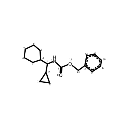 O=C(NC(C1CCCCC1)C1CC1)OCc1ccccc1